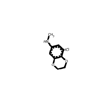 CNc1ccc2c(c1)OCCO2.Cl